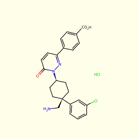 Cl.NC[C@]1(c2cccc(Cl)c2)CC[C@H](n2nc(-c3ccc(C(=O)O)cc3)ccc2=O)CC1